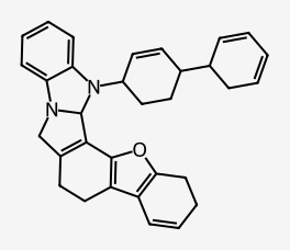 C1=CCC(C2C=CC(N3c4ccccc4N4CC5=C(c6oc7c(c6CC5)C=CCC7)C43)CC2)C=C1